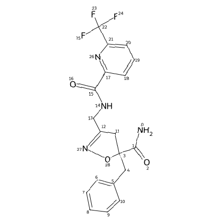 NC(=O)C1(Cc2ccccc2)CC(CNC(=O)c2cccc(C(F)(F)F)n2)=NO1